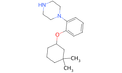 CC1(C)CCCC(Oc2ccccc2N2CCNCC2)C1